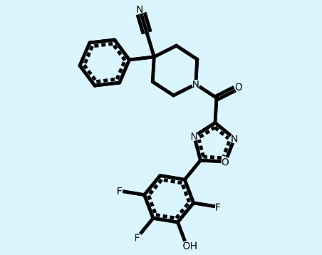 N#CC1(c2ccccc2)CCN(C(=O)c2noc(-c3cc(F)c(F)c(O)c3F)n2)CC1